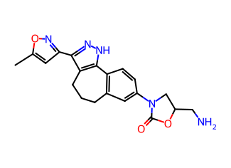 Cc1cc(-c2n[nH]c3c2CCCc2cc(N4CC(CN)OC4=O)ccc2-3)no1